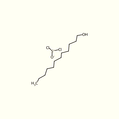 CCCCCCCCCCCCO.[O-][S+](Cl)Cl